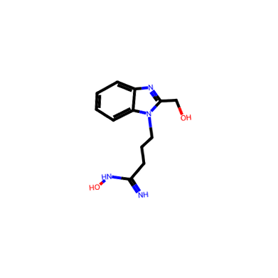 N=C(CCCn1c(CO)nc2ccccc21)NO